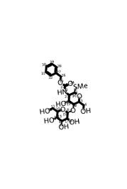 CS[C@H]1OC(CO)[C@@H](O[C@@H]2OC(CO)[C@H](O)[C@H](O)C2O)[C@H](O)C1NC(=O)OCc1ccccc1